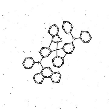 c1ccc(N(c2ccccc2)c2ccc3c(c2)C2(c4ccccc4-3)c3cc(N(c4ccccc4)c4cc5ccccc5c5ccccc45)ccc3-c3c2sc2ccccc32)cc1